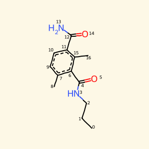 CCCNC(=O)c1c(C)ccc(C(N)=O)c1C